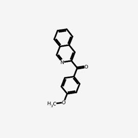 COc1ccc(C(=O)c2cc3ccccc3cn2)cc1